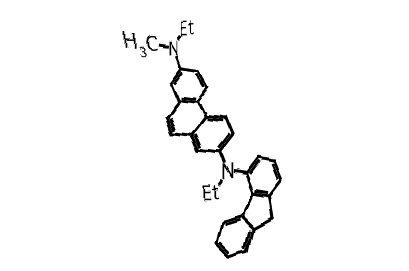 CCN(C)c1ccc2c(ccc3cc(N(CC)c4cccc5c4-c4ccccc4C5)ccc32)c1